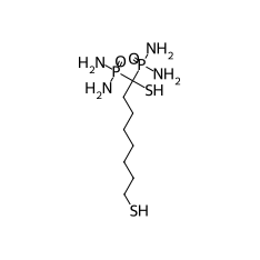 NP(N)(=O)C(S)(CCCCCCCS)P(N)(N)=O